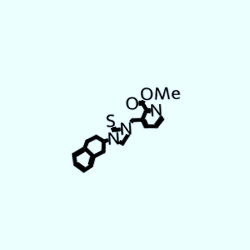 COC(=O)c1ncccc1CN1CCN(C2CCc3ccccc3C2)C1=S